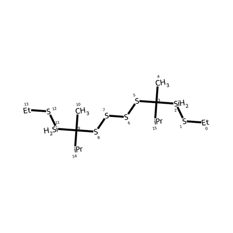 CCS[SiH2]C(C)(SSSSC(C)([SiH2]SCC)C(C)C)C(C)C